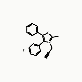 C#CC[n+]1c(C)oc(-c2ccccc2)c1-c1ccccc1.[I-]